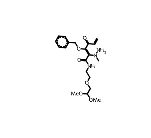 C=CC(=O)/C(OCc1ccccc1)=C(/C(=O)NCCOCC(OC)OC)N(C)N